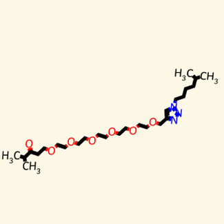 CC(C)CCCCn1cc(COCCOCCOCCOCCOCCOCCC(=O)C(C)C)nn1